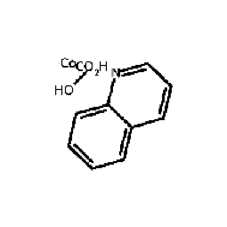 O=C(O)O.[Co].c1ccc2ncccc2c1